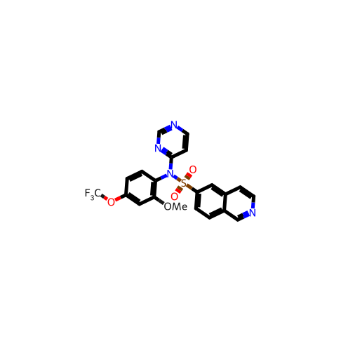 COc1cc(OC(F)(F)F)ccc1N(c1ccncn1)S(=O)(=O)c1ccc2cnccc2c1